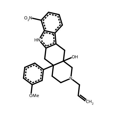 C=CCN1CCC2(c3cccc(OC)c3)Cc3[nH]c4c([N+](=O)[O-])cccc4c3CC2(O)C1